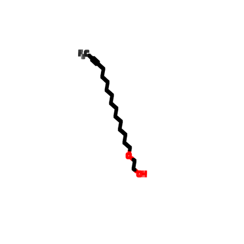 OCCOCCCCCCCCCCCCCC#CC(F)(F)F